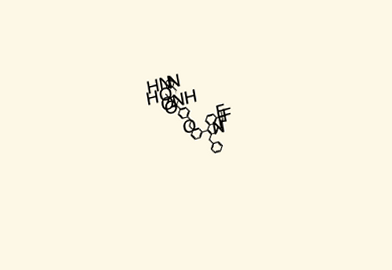 O=C(N[C@@H](Cc1c[nH]cn1)C(=O)O)c1ccc(COc2cccc(-c3c(Cc4ccccc4)cnc4c(C(F)(F)F)cccc34)c2)cc1